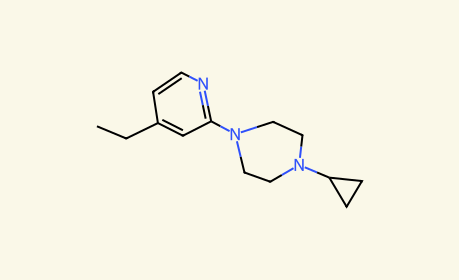 CCc1ccnc(N2CCN(C3CC3)CC2)c1